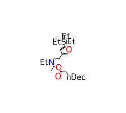 CCCCCCCCCCCC(=O)OC(C)N(CC)CCc1coc([Si](CC)(CC)CC)c1